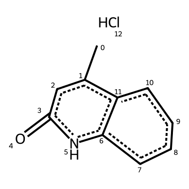 Cc1cc(=O)[nH]c2ccccc12.Cl